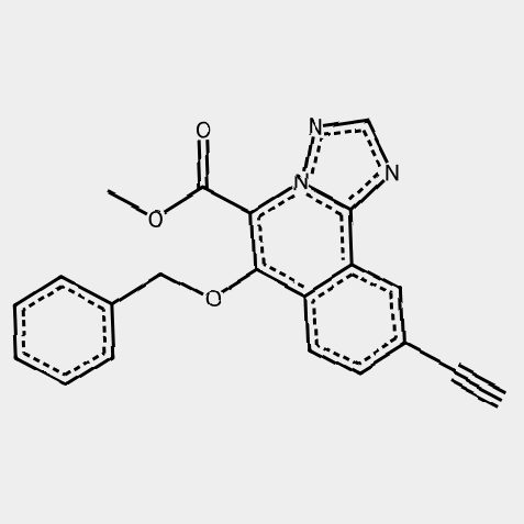 C#Cc1ccc2c(OCc3ccccc3)c(C(=O)OC)n3ncnc3c2c1